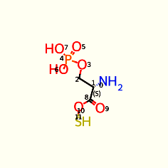 N[C@@H](COP(=O)(O)O)C(=O)OS